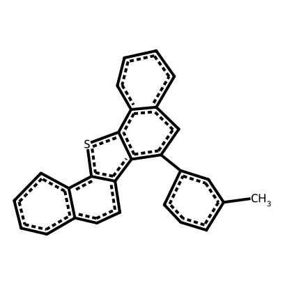 Cc1cccc(-c2cc3ccccc3c3sc4c5ccccc5ccc4c23)c1